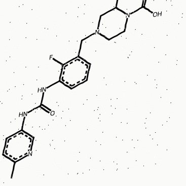 Cc1ccc(NC(=O)Nc2cccc(CN3CCN(C(=O)O)C(C)C3)c2F)cn1